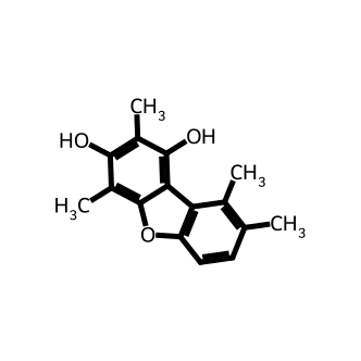 Cc1ccc2oc3c(C)c(O)c(C)c(O)c3c2c1C